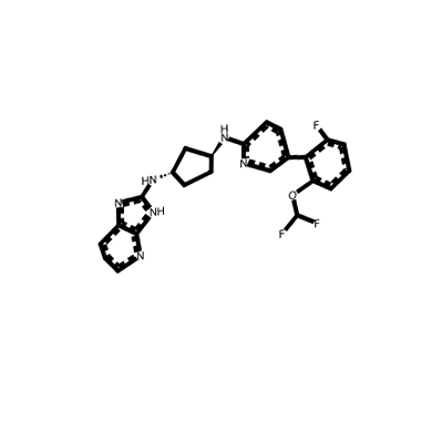 Fc1cccc(OC(F)F)c1-c1ccc(N[C@H]2CC[C@H](Nc3nc4cccnc4[nH]3)C2)nc1